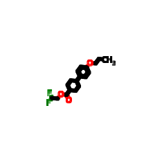 CCCOc1ccc(C2CCC(C(=O)OCC(F)F)CC2)cc1